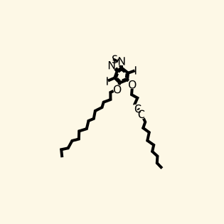 CCCCCCCCCCCCCCOc1c(OCCCCCCCCCCCCCC)c(I)c2nsnc2c1I